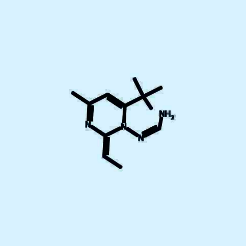 C/C=C1/N=C(C)C=C(C(C)(C)C)N1/N=C\N